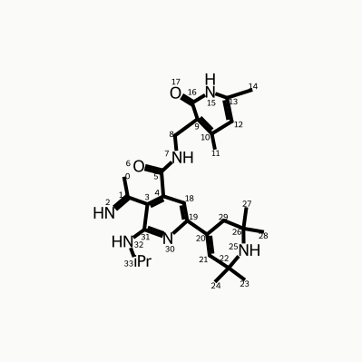 CC(=N)c1c(C(=O)NCc2c(C)cc(C)[nH]c2=O)cc(C2=CC(C)(C)NC(C)(C)C2)nc1NC(C)C